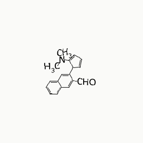 CN(C)C1=CC=CC1c1cc2ccccc2cc1C=O